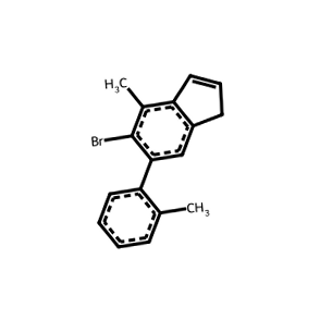 Cc1ccccc1-c1cc2c(c(C)c1Br)C=CC2